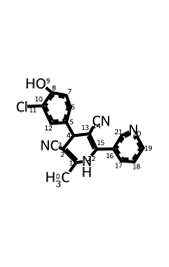 CC1=C(C#N)C(c2ccc(O)c(Cl)c2)C(C#N)=C(c2cccnc2)N1